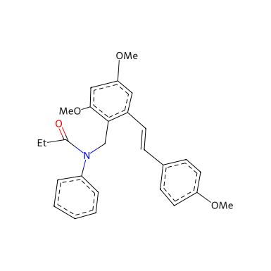 CCC(=O)N(Cc1c(C=Cc2ccc(OC)cc2)cc(OC)cc1OC)c1ccccc1